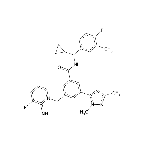 Cc1cc(C(NC(=O)c2cc(Cn3cccc(F)c3=N)cc(-c3cc(C(F)(F)F)nn3C)c2)C2CC2)ccc1F